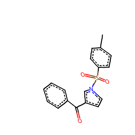 Cc1ccc(S(=O)(=O)n2ccc(C(=O)c3ccccc3)c2)cc1